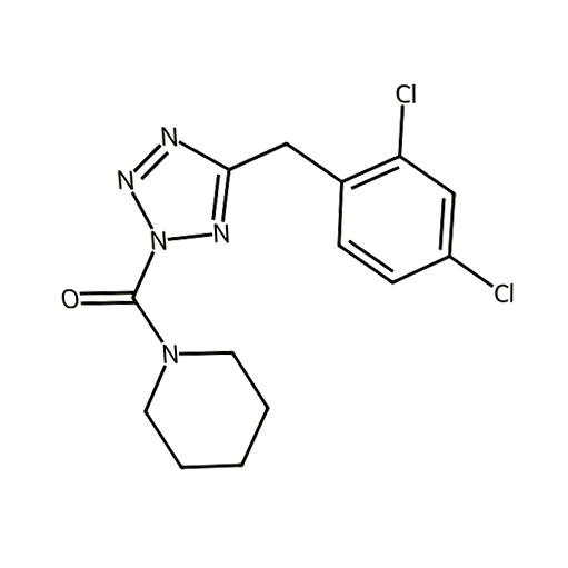 O=C(N1CCCCC1)n1nnc(Cc2ccc(Cl)cc2Cl)n1